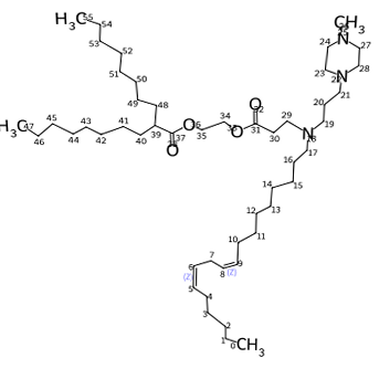 CCCCC/C=C\C/C=C\CCCCCCCCN(CCCN1CCN(C)CC1)CCC(=O)OCCOC(=O)C(CCCCCCCC)CCCCCCCC